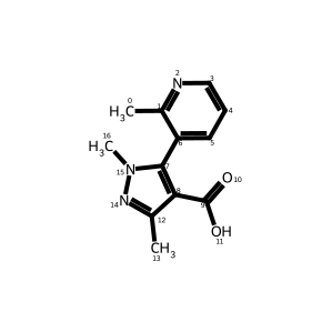 Cc1ncccc1-c1c(C(=O)O)c(C)nn1C